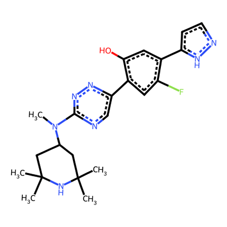 CN(c1ncc(-c2cc(F)c(-c3ccn[nH]3)cc2O)nn1)C1CC(C)(C)NC(C)(C)C1